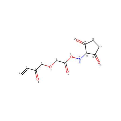 C=CC(=O)COCC(=O)ONC1C(=O)CCC1=O